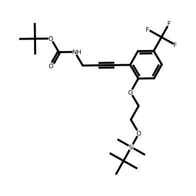 CC(C)(C)OC(=O)NCC#Cc1cc(C(F)(F)F)ccc1OCCO[Si](C)(C)C(C)(C)C